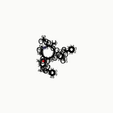 CC[C@H]1OC(=O)[C@H](C)[C@@H](OC2C[C@@](C)(OC)[C@@H](OC(=O)c3ccccc3)[C@H](C)O2)[C@H](C)[C@@H](OC2O[C@H](C)C[C@H](N(C)C)[C@H]2OC(=O)c2ccccc2)[C@@](C)(OC)C[C@@H](C)C(=O)/C(C)=C/[C@@]1(O)COC(C)=O